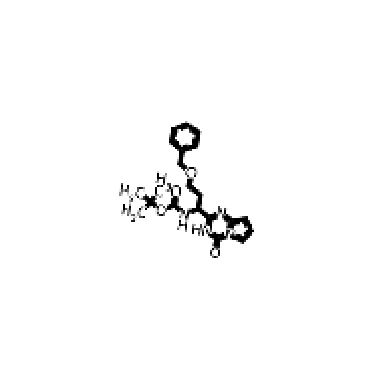 CC(C)(C)OC(=O)NC(CCOCc1ccccc1)c1nc2cccn2c(=O)[nH]1